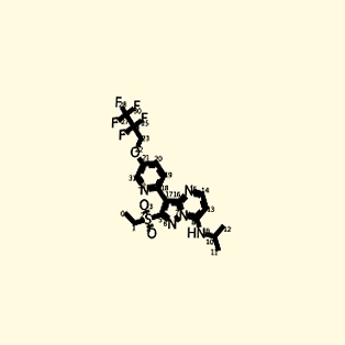 CCS(=O)(=O)c1nn2c(NC(C)C)ccnc2c1-c1ccc(OCC(F)(F)C(F)(F)F)cn1